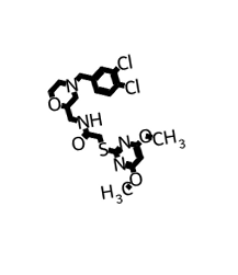 COc1cc(OC)nc(SCC(=O)NCC2CN(Cc3ccc(Cl)c(Cl)c3)CCO2)n1